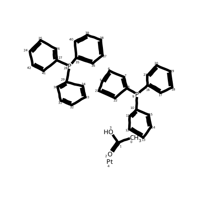 CC(=O)O.[Pt].c1ccc(P(c2ccccc2)c2ccccc2)cc1.c1ccc(P(c2ccccc2)c2ccccc2)cc1